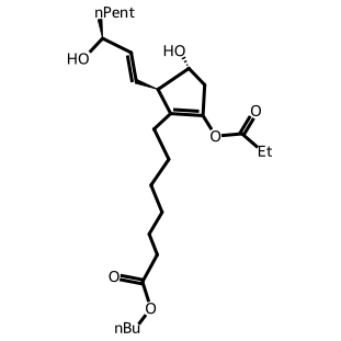 CCCCC[C@H](O)/C=C/[C@@H]1C(CCCCCCC(=O)OCCCC)=C(OC(=O)CC)C[C@H]1O